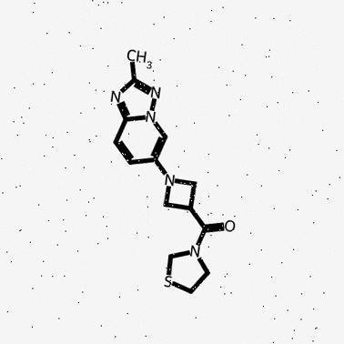 Cc1nc2ccc(N3CC(C(=O)N4CCSC4)C3)cn2n1